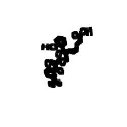 O=C(O)CC/C=C\CC1COC(c2coc3ccc([N+](=O)[O-])cc3c2=O)OC1c1ccccc1O